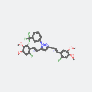 COc1cc(F)c(/C=C/c2cc(/C=C/c3cc(OC)c(OC)cc3F)n(-c3cccc(C(F)(F)F)c3)n2)cc1OC